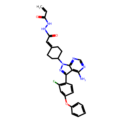 C=CC(=O)NNC(=O)C=C1CCC(n2nc(-c3ccc(Oc4ccccc4)cc3F)c3c(N)ncnc32)CC1